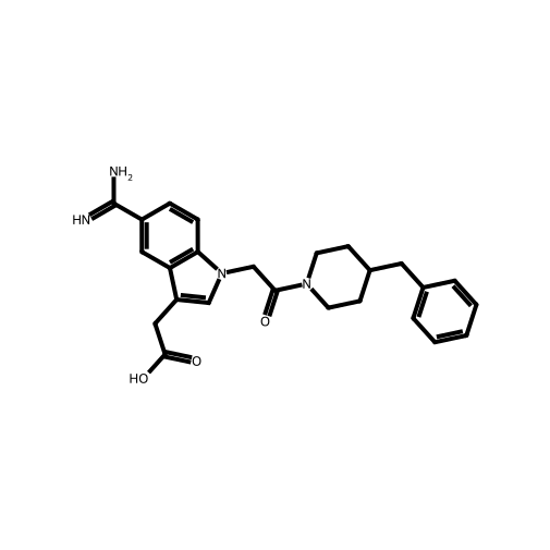 N=C(N)c1ccc2c(c1)c(CC(=O)O)cn2CC(=O)N1CCC(Cc2ccccc2)CC1